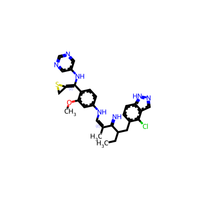 CCC(Cc1ccc2[nH]ncc2c1Cl)C(=N)/C(C)=C\Nc1ccc(/C(Nc2cncnc2)=C2\CS2)c(OC)c1